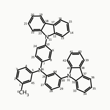 Cc1cccc(N(c2ccc(-n3c4ccccc4c4ccccc43)cc2)c2cccc(-n3c4ccccc4c4ccccc43)c2)c1